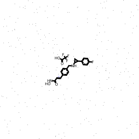 O=C(/C=C/c1ccc(CNC2CC2c2ccc(F)cc2)cc1)NO.O=C(O)C(F)(F)F